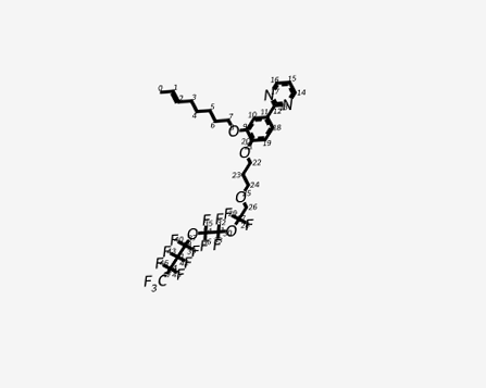 CC=CCCCCCOc1cc(-c2ncccn2)ccc1OCCCOCC(F)(F)OC(F)(F)C(F)(F)OC(F)(F)C(F)(F)C(F)(F)C(F)(F)F